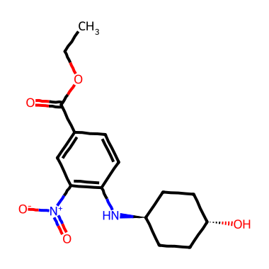 CCOC(=O)c1ccc(N[C@H]2CC[C@H](O)CC2)c([N+](=O)[O-])c1